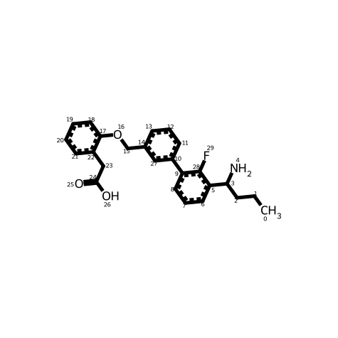 CCCC(N)c1cccc(-c2cccc(COc3ccccc3CC(=O)O)c2)c1F